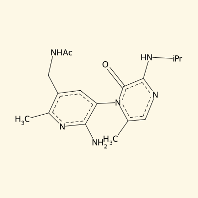 CC(=O)NCc1cc(-n2c(C)cnc(NC(C)C)c2=O)c(N)nc1C